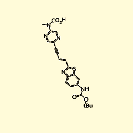 CN(C(=O)O)c1cnc(C#C/C=C/c2nc3ccc(NC(=O)OC(C)(C)C)cc3s2)cn1